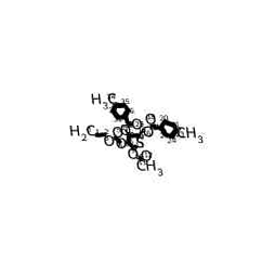 C=CCOC(=O)O[C@H]1C(OC(C)=O)S[C@H](COC(=O)c2ccc(C)cc2)[C@@H]1OC(=O)c1ccc(C)cc1